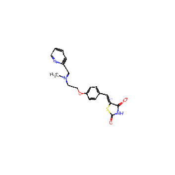 CN(CCOc1ccc(/C=C2\SC(=O)NC2=O)cc1)Cc1ccccn1